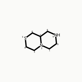 C1CN2CCSCC2CN1